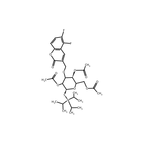 CC(=O)OCC1O[C@@H](S[Si](C(C)C)(C(C)C)C(C)C)C(OC(C)=O)C(OCc2cc3c(F)c(F)ccc3oc2=O)[C@H]1OC(C)=O